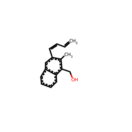 C=C/C=C\c1cc2ccccc2c(CO)c1C